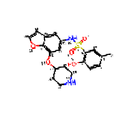 Cc1ccc(O)c(S(=O)(=O)Nc2cc(OC3CCNCC3)c3occc3c2)c1